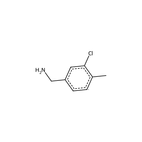 Cc1[c]cc(CN)cc1Cl